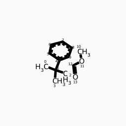 CC(C)(C)c1ccccc1.COC=O